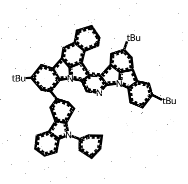 CC(C)(C)c1ccc2c(c1)c1cc(C(C)(C)C)cc3c4c5c6c7ccccc7cc7c8cc(C(C)(C)C)cc(-c9ccc%10c(c9)c9ccccc9n%10-c9ccccc9)c8n(c5cnc4n2c13)c76